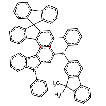 CC1(C)c2ccccc2-c2ccc(N(c3ccc4c5ccccc5n(-c5ccccc5)c4c3)c3ccccc3-c3ccc4c(c3)C3(c5ccccc5-c5ccccc53)c3ccccc3-4)cc21